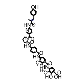 COc1c(NC(=O)c2ccc(NC(=O)c3ccc(NC(=O)[C@@H]4CCCN4C(=O)c4ccc(NC(=O)/C(C)=C/c5ccc(O)cc5)nc4)cc3)c(OC)c2O)ccc(C(=O)O)c1O